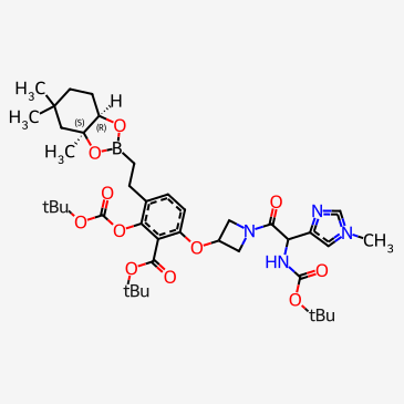 Cn1cnc(C(NC(=O)OC(C)(C)C)C(=O)N2CC(Oc3ccc(CCB4O[C@@H]5CCC(C)(C)C[C@]5(C)O4)c(OC(=O)OC(C)(C)C)c3C(=O)OC(C)(C)C)C2)c1